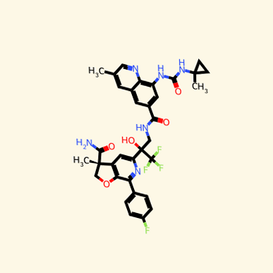 Cc1cnc2c(NC(=O)NC3(C)CC3)cc(C(=O)NCC(O)(c3cc4c(c(-c5ccc(F)cc5)n3)OC[C@]4(C)C(N)=O)C(F)(F)F)cc2c1